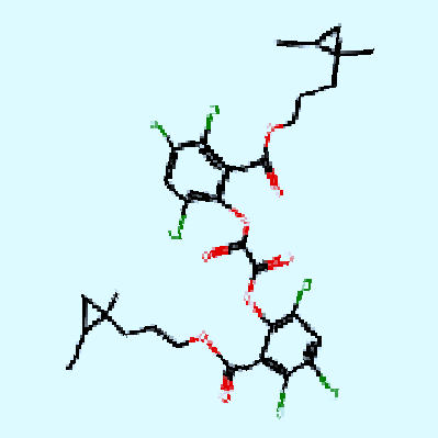 CC1CC1(C)CCCOC(=O)c1c(Cl)c(Cl)cc(Cl)c1OC(=O)C(=O)Oc1c(Cl)cc(Cl)c(Cl)c1C(=O)OCCCC1(C)CC1C